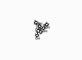 O=C(c1ccc(O)cc1)c1ccc(O)c2c1C(Cl)(Cl)C2(c1ccc(O)c(Oc2ccccc2)c1)c1ccc(O)c(Oc2ccccc2)c1